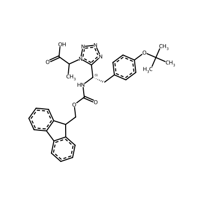 CC(C(=O)O)n1nnnc1[C@H](Cc1ccc(OC(C)(C)C)cc1)NC(=O)OCC1c2ccccc2-c2ccccc21